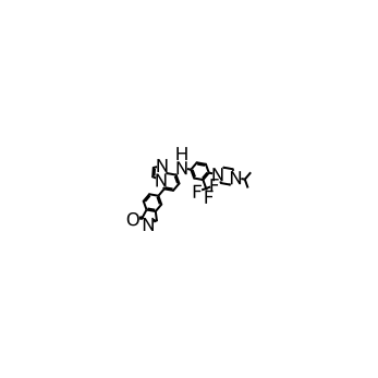 CC(C)N1CCN(c2ccc(Nc3ccc(-c4ccc5c(c4)C=NC5=O)n4ccnc34)cc2C(F)(F)F)CC1